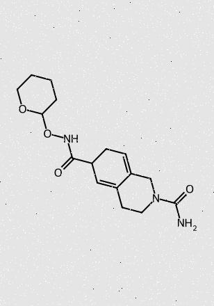 NC(=O)N1CCC2=CC(C(=O)NOC3CCCCO3)CC=C2C1